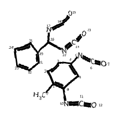 Cc1ccc(N=C=O)cc1N=C=O.O=C=NC(N=C=O)c1ccccc1